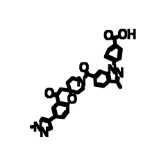 Cc1nn(-c2ccc(C(=O)O)cc2)c2cc(C(=O)N3CCC4(CC3)CC(=O)c3cc(-c5cnn(C)c5)ccc3O4)ccc12